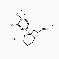 CNCCC1(c2ccc(Cl)c(Cl)c2)CCCCC1.Cl